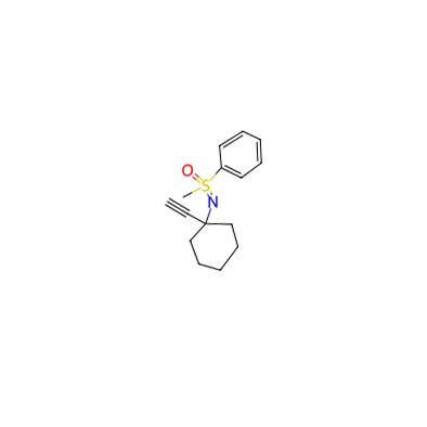 C#CC1(N=S(C)(=O)c2ccccc2)CCCCC1